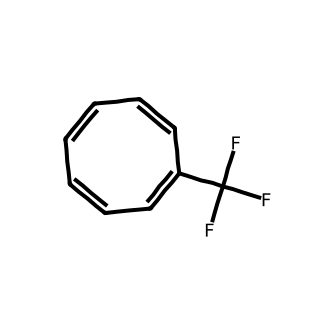 FC(F)(F)C1=CC=CC=CC=C1